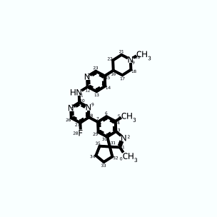 CC1=Nc2c(C)cc(-c3nc(Nc4ccc(C5CCN(C)CC5)cn4)ncc3F)cc2C12CCCC2